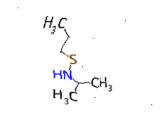 CCCSNC(C)C